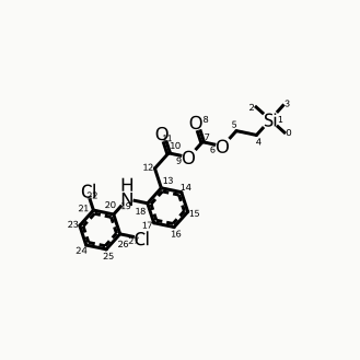 C[Si](C)(C)CCOC(=O)OC(=O)Cc1ccccc1Nc1c(Cl)cccc1Cl